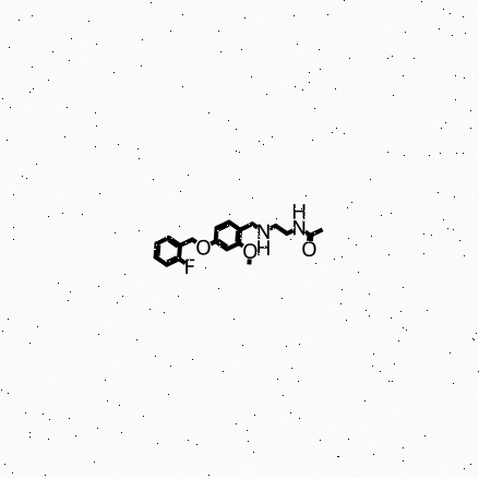 COc1cc(OCc2ccccc2F)ccc1CNCCNC(C)=O